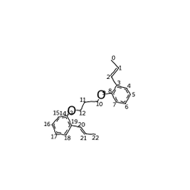 CC=Cc1ccccc1OCCCOc1ccccc1C=CC